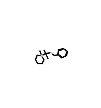 CC(C)(NCc1ccccc1)[Si]1(C)CCCCC1